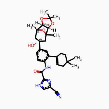 CC1(C)CC=C(c2cc([C@]3(O)CC4(C)O[C@](C)(C3)[C@H]3OC(C)(C)O[C@H]34)ccc2NC(=O)c2nc(C#N)c[nH]2)CC1